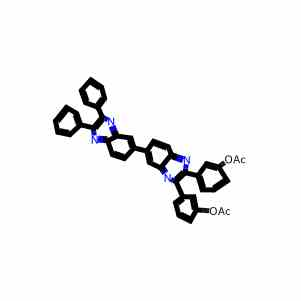 CC(=O)Oc1cccc(-c2nc3ccc(-c4ccc5nc(-c6ccccc6)c(-c6ccccc6)nc5c4)cc3nc2-c2cccc(OC(C)=O)c2)c1